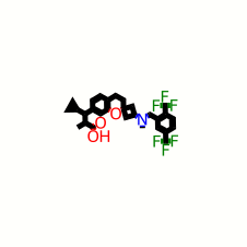 CC(C(=O)O)C(c1ccc2c(c1)OC1(CC2)CC(N(C)Cc2cc(C(F)(F)F)ccc2C(F)(F)F)C1)C1CC1